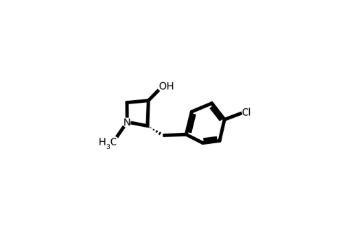 CN1CC(O)[C@@H]1Cc1ccc(Cl)cc1